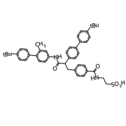 Cc1cc(NC(=O)C(Cc2ccc(C(=O)NCCS(=O)(=O)O)cc2)c2ccc(-c3ccc(C(C)(C)C)cc3)cc2)ccc1-c1ccc(C(C)(C)C)cc1